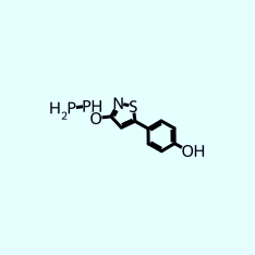 Oc1ccc(-c2cc(OPP)ns2)cc1